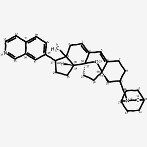 CC12CC=C3C=C4CCC(N5CC6CCC5CC6)C[C@]45CC[C@]3(O5)[C@@H]1CCC2c1ccc2ccncc2c1